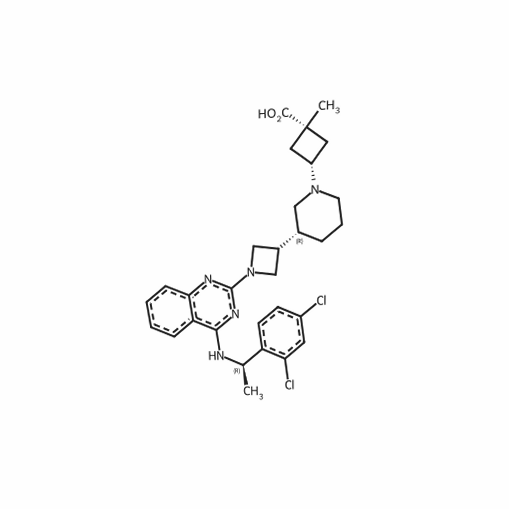 C[C@@H](Nc1nc(N2CC([C@H]3CCCN([C@H]4C[C@@](C)(C(=O)O)C4)C3)C2)nc2ccccc12)c1ccc(Cl)cc1Cl